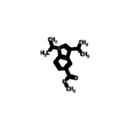 COC(=O)c1ccc2c(c1)c(C(C)C)cn2C(C)C